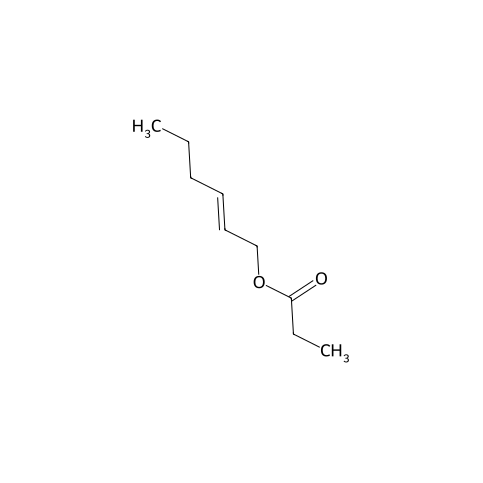 CCCC=CCOC(=O)CC